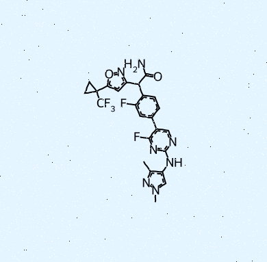 Cc1nn(C)cc1Nc1ncc(-c2ccc(C(C(N)=O)c3cc(C4(C(F)(F)F)CC4)on3)c(F)c2)c(F)n1